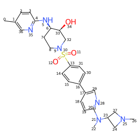 Cc1ccc(N[C@@H]2CCN(S(=O)(=O)c3ccc(-c4ccc(N(C)C5CN(C)C5)nc4)cc3)C[C@@H]2O)nc1